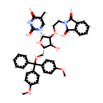 COc1ccc(C(OC[C@@H]2O[C@H](n3cc(C)c(=O)[nH]c3=O)C(OCCN3C(=O)c4ccccc4C3=O)C2O)(c2ccccc2)c2ccc(OC)cc2)cc1